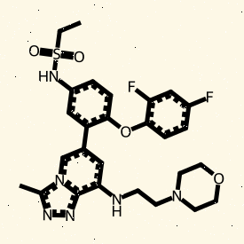 CCS(=O)(=O)Nc1ccc(Oc2ccc(F)cc2F)c(-c2cc(NCCN3CCOCC3)c3nnc(C)n3c2)c1